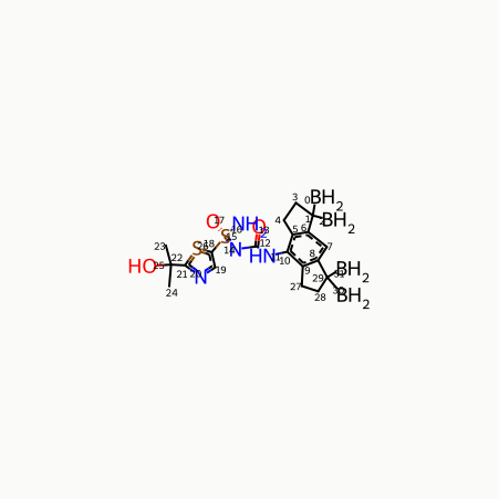 BC1(B)CCc2c1cc1c(c2NC(=O)N=S(N)(=O)c2cnc(C(C)(C)O)s2)CCC1(B)B